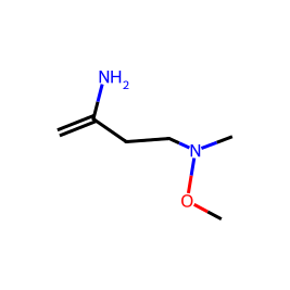 C=C(N)CCN(C)OC